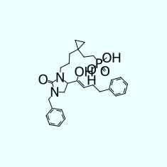 O=C1N(Cc2ccccc2)CC(C(O)=CCCc2ccccc2)N1CCCC1(CCP(=O)(O)O)CC1